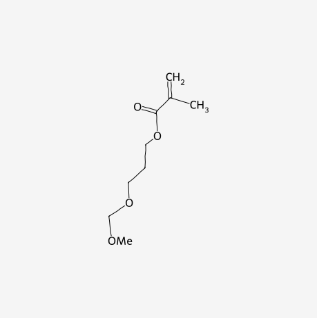 C=C(C)C(=O)OCCCOCOC